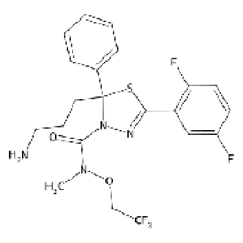 CN(OCC(F)(F)F)C(=O)N1N=C(c2cc(F)ccc2F)SC1(CCCN)c1ccccc1